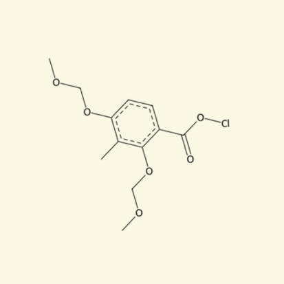 COCOc1ccc(C(=O)OCl)c(OCOC)c1C